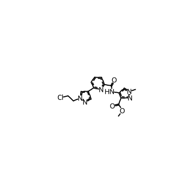 COC(=O)c1nn(C)cc1NC(=O)c1cccc(-c2cnn(CCCl)c2)n1